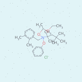 CCOC(C)O[N+](Cc1cccc(C)c1C)(Oc1ccccc1)C(C)(C)CC(C)(C)C.[Cl-]